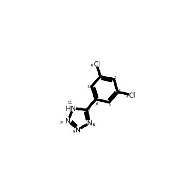 Clc1cc(Cl)cc(-c2nnn[nH]2)c1